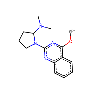 CCCOc1nc(N2CCCC2N(C)C)nc2ccccc12